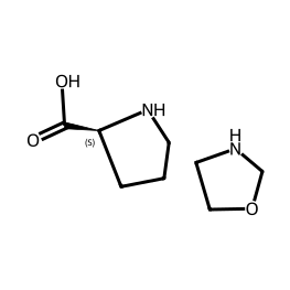 C1COCN1.O=C(O)[C@@H]1CCCN1